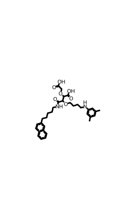 Cc1cc(C)cc(NCCCCOC(C(=O)NCCCCCc2ccc3ccccc3c2)C(OCC(=O)O)C(=O)O)c1